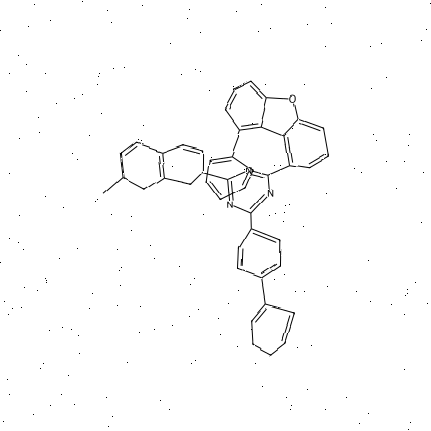 CC1C=CC2=C(C1)CC(c1nc(-c3ccc(C4=CCCC=C4)cc3)nc(-c3cccc4oc5cccc(-c6ccccc6)c5c34)n1)C=C2